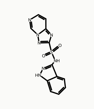 O=S(=O)(Nc1n[nH]c2ccccc12)c1nc2ccncn2n1